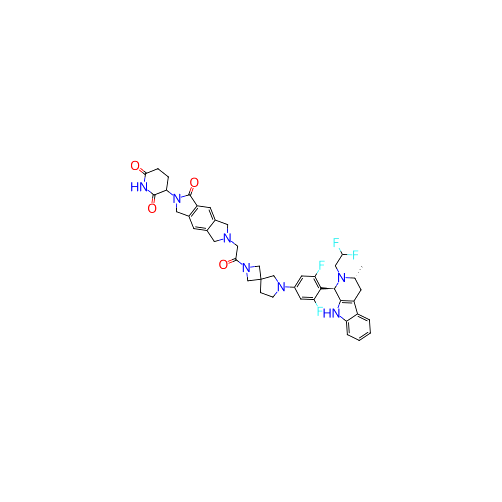 C[C@@H]1Cc2c([nH]c3ccccc23)[C@@H](c2c(F)cc(N3CCC4(CN(C(=O)CN5Cc6cc7c(cc6C5)C(=O)N(C5CCC(=O)NC5=O)C7)C4)C3)cc2F)N1CC(F)F